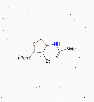 C=C(NC1CSC(CCCCC)C1CC)SC